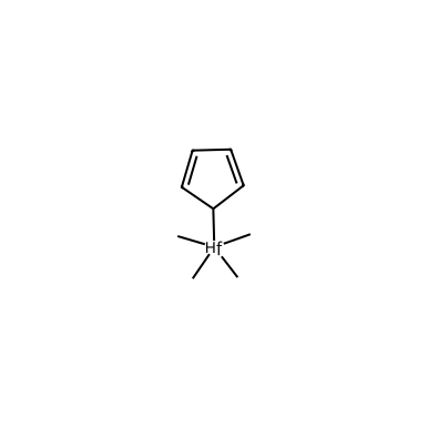 [CH3][Hf]([CH3])([CH3])([CH3])[CH]1C=CC=C1